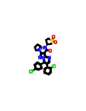 O=C(N[C@@H]1CCS(=O)(=O)C1)c1c(N2CCCC2)nn2c(-c3ccc(Cl)cc3)c(-c3ccccc3Cl)cnc12